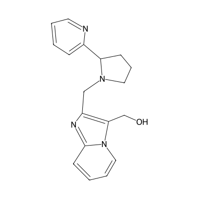 OCc1c(CN2CCCC2c2ccccn2)nc2ccccn12